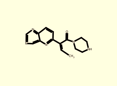 CC=C(C(=O)N1CCNCC1)c1ccc2ncncc2n1